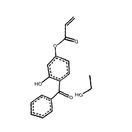 C=CC(=O)Oc1ccc(C(=O)c2ccccc2)c(O)c1.CCO